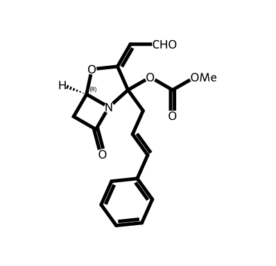 COC(=O)OC1(CC=Cc2ccccc2)C(=CC=O)O[C@@H]2CC(=O)N21